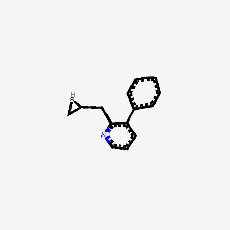 B1CC1Cc1ncccc1-c1ccccc1